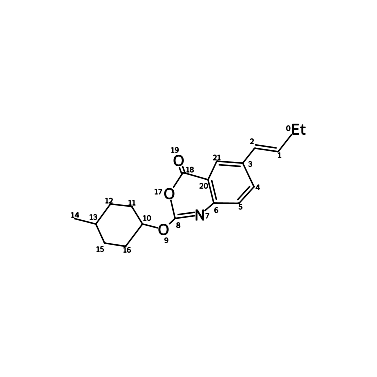 CCC=Cc1ccc2nc(OC3CCC(C)CC3)oc(=O)c2c1